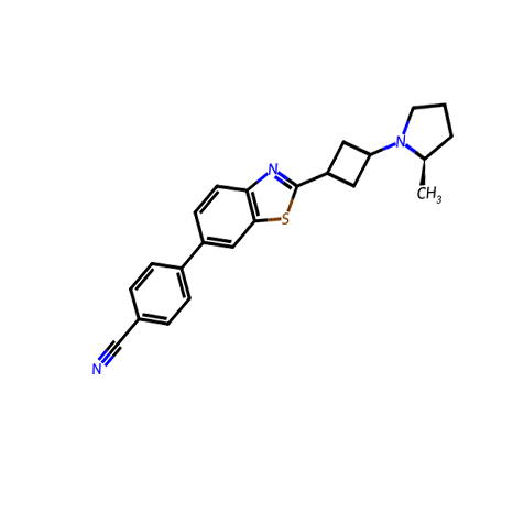 C[C@@H]1CCCN1C1CC(c2nc3ccc(-c4ccc(C#N)cc4)cc3s2)C1